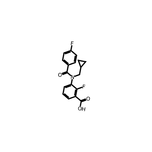 O=C(O)c1cccc(N(CC2CC2)C(=O)c2ccc(F)cc2)c1F